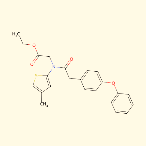 CCOC(=O)CN(C(=O)Cc1ccc(Oc2ccccc2)cc1)c1cc(C)cs1